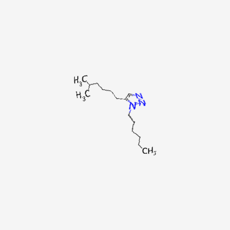 CCCCCCn1nncc1CCCCC(C)C